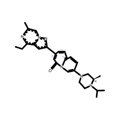 CCc1nc(C)cn2nc(C3=C\C(=O)N4C=C(N5CCN(C(C)C)[C@H](C)C5)C=C\C4=C/C=C/3)cc12